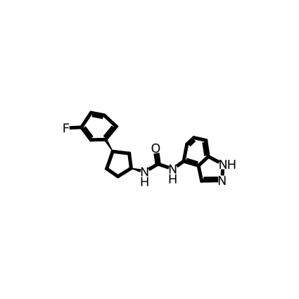 O=C(Nc1cccc2[nH]ncc12)N[C@H]1CC[C@@H](c2cccc(F)c2)C1